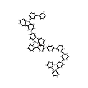 c1ccc(-c2cccc(-n3c4ccccc4c4cc(-c5ccc6c(c5)c5ccccc5n6-c5ccccc5-c5ccc(-c6ccc(-c7cccc(-c8cccc(-c9ccc(-c%10ccccc%10-c%10ccccc%10)cc9)c8)c7)cc6)cc5)ccc43)c2)cc1